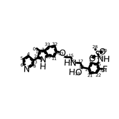 Cc1c(-c2cccnc2)[nH]c2cc(OCCNCC(O)c3ccc(F)c(NS(C)(=O)=O)c3)ccc12